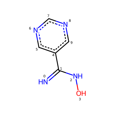 N=C(NO)c1cncnc1